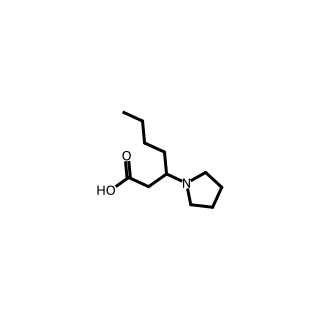 CCCCC(CC(=O)O)N1CCCC1